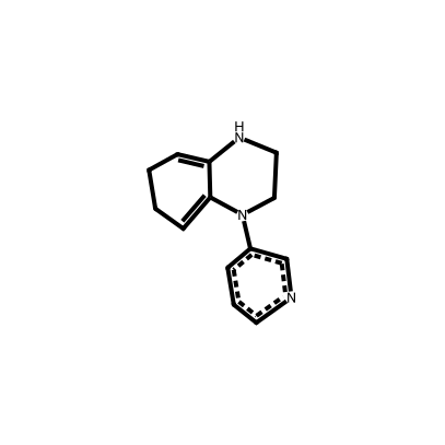 C1=C2NCCN(c3cccnc3)C2=CCC1